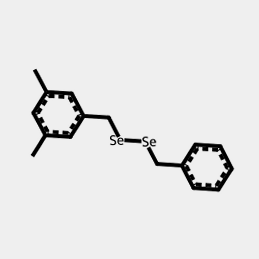 Cc1cc(C)cc(C[Se][Se]Cc2ccccc2)c1